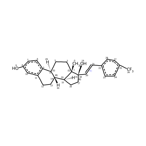 C[C@]12CC[C@@H]3c4ccc(O)cc4CC[C@H]3[C@@H]1CC[C@@]2(O)/C=C/c1ccc(C(F)(F)F)cc1